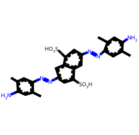 Cc1cc(N=Nc2cc(S(=O)(=O)O)c3cc(N=Nc4cc(C)c(N)cc4C)cc(S(=O)(=O)O)c3c2)c(C)cc1N